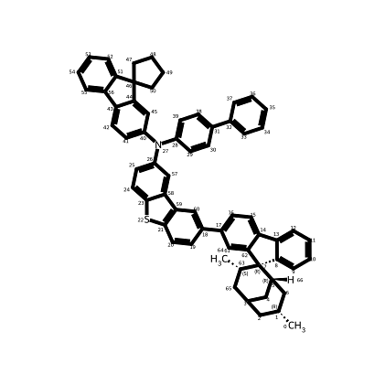 C[C@@H]1CC2C[C@@H](C1)[C@@]1(c3ccccc3-c3ccc(-c4ccc5sc6ccc(N(c7ccc(-c8ccccc8)cc7)c7ccc8c(c7)C7(CCCC7)c7ccccc7-8)cc6c5c4)cc31)[C@@H](C)C2